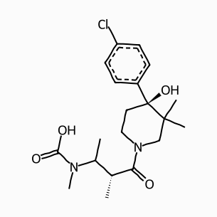 CC([C@@H](C)C(=O)N1CC[C@](O)(c2ccc(Cl)cc2)C(C)(C)C1)N(C)C(=O)O